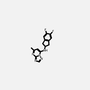 Cc1cc(NC2Cc3cc(F)c(F)cc3C2)n2ncnc2n1